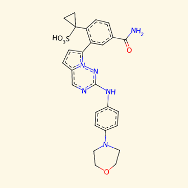 NC(=O)c1ccc(C2(S(=O)(=O)O)CC2)c(-c2ccc3cnc(Nc4ccc(N5CCOCC5)cc4)nn23)c1